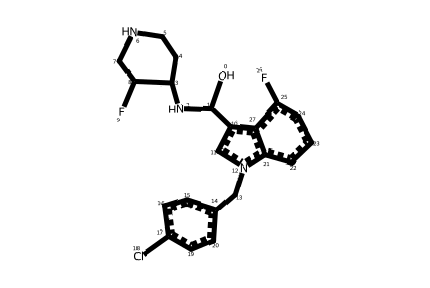 OC(NC1CCNCC1F)c1cn(Cc2ccc(Cl)cc2)c2cccc(F)c12